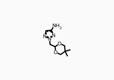 CC1(C)COC(Cn2ncc(N)n2)OC1